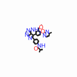 C=C(C)C(=O)Nc1ccc(-c2c(-c3ccc(Oc4nccc(C)n4)c(COC)c3)c3c(N)ncnc3n2C)cc1